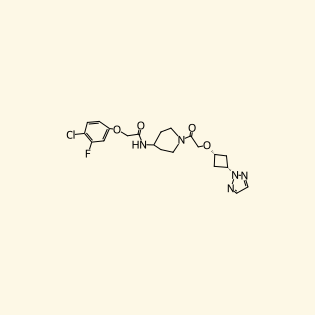 O=C(COc1ccc(Cl)c(F)c1)NC1CCN(C(=O)CO[C@H]2C[C@@H](n3nccn3)C2)CC1